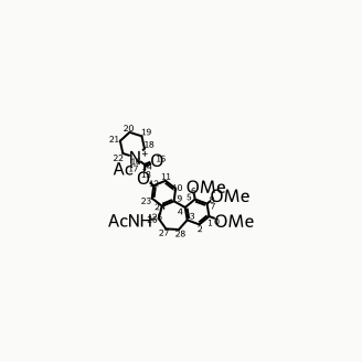 COc1cc2c(c(OC)c1OC)-c1ccc(OC(=O)[N+]3(C(C)=O)CCCCC3)cc1[C@@H](NC(C)=O)CC2